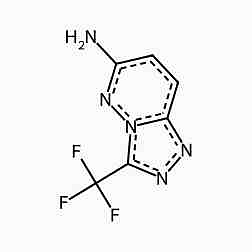 Nc1ccc2nnc(C(F)(F)F)n2n1